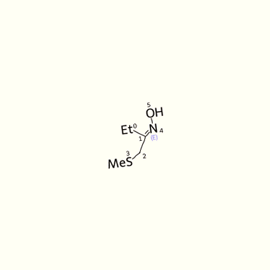 CC/C(CSC)=N\O